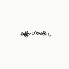 NC(=O)OCCOCCOCCOCCOCC#Cc1ccc2c(c1)C(=O)N(C1CCC(=O)NC1=O)C2=O